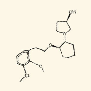 COc1cccc(CCO[C@@H]2CCCC[C@H]2N2CC[C@@H](O)C2)c1OC